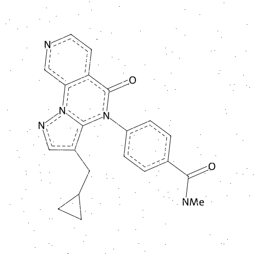 CNC(=O)c1ccc(-n2c(=O)c3ccncc3n3ncc(CC4CC4)c23)cc1